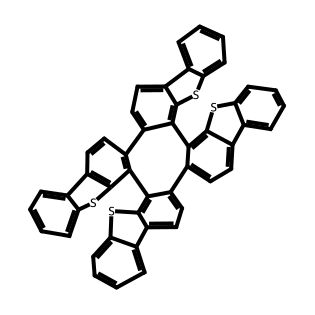 c1ccc2c(c1)sc1c3c(ccc12)-c1ccc2c(sc4ccccc42)c1-c1c(ccc2c1sc1ccccc12)-c1ccc2c(sc4ccccc42)c1-3